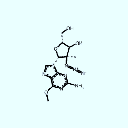 COc1nc(N)nc2c1ncn2[C@@H]1O[C@H](CO)C(O)[C@@]1(C)N=[N+]=[N-]